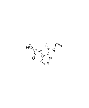 COC(=O)c1ncccc1CC(=O)O